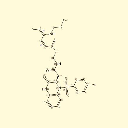 C=C(/C=C\C(=C/C)NCCF)CCNC(=O)C[C@@H]1C(=O)Nc2c#cccc2N1S(=O)(=O)c1ccc(C)cc1